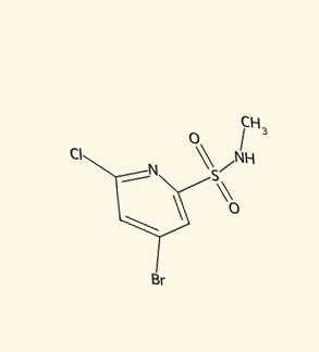 CNS(=O)(=O)c1cc(Br)cc(Cl)n1